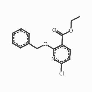 CCOC(=O)c1ccc(Cl)nc1OCc1ccccc1